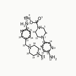 CC(C)(C)OC(=O)N1CCN(c2ccc(N)nc2)CC1.CCN1CCN(Cc2ccc(N)nc2)CC1